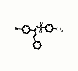 Cc1ccc(S(=O)(=O)/N=C(\C=C\c2ccccc2)c2ccc(Br)cc2)cc1